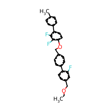 CCOCc1ccc(-c2ccc(COc3ccc(-c4ccc(C)cc4)c(F)c3F)cc2)c(F)c1